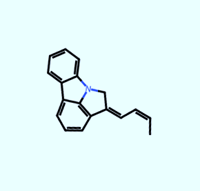 C/C=C\C=C1/Cn2c3ccccc3c3cccc1c32